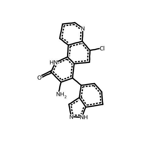 Nc1c(-c2cccc3[nH]ncc23)c2cc(Cl)c3ncccc3c2[nH]c1=O